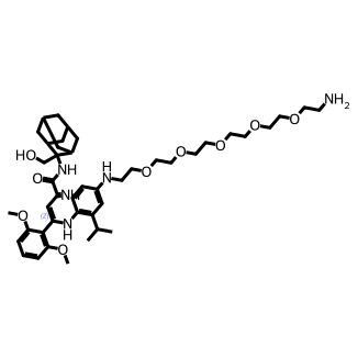 COc1cccc(OC)c1/C(=C/C(=N)C(=O)NC1(CO)C2CC3CC(C2)CC1C3)Nc1ccc(NCCOCCOCCOCCOCCOCCN)cc1C(C)C